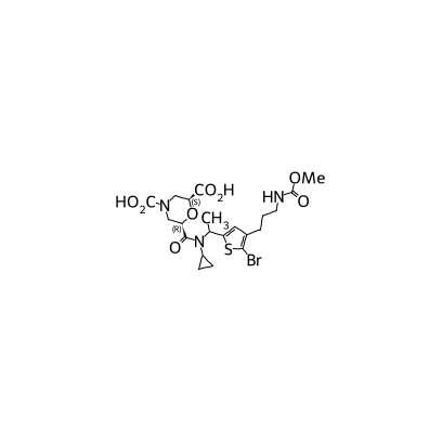 COC(=O)NCCCc1cc(C(C)N(C(=O)[C@H]2CN(C(=O)O)C[C@@H](C(=O)O)O2)C2CC2)sc1Br